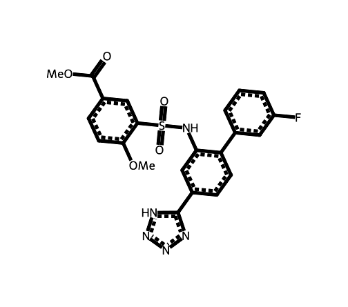 COC(=O)c1ccc(OC)c(S(=O)(=O)Nc2cc(-c3nnn[nH]3)ccc2-c2cccc(F)c2)c1